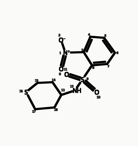 O=[N+]([O-])c1ccccc1S(=O)(=O)NC1CCSCC1